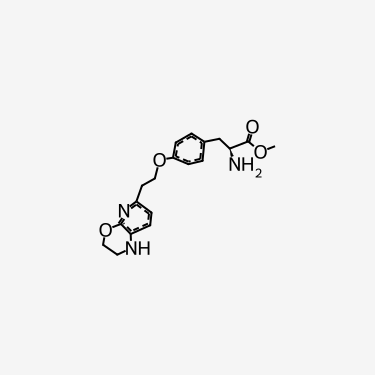 COC(=O)[C@@H](N)Cc1ccc(OCCc2ccc3c(n2)OCCN3)cc1